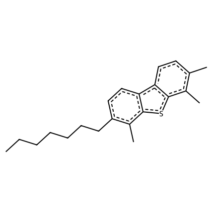 CCCCCCCc1ccc2c(sc3c(C)c(C)ccc32)c1C